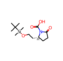 CC(C)(C)[Si](C)(C)OCC[C@H]1CCC(=O)N1C(=O)O